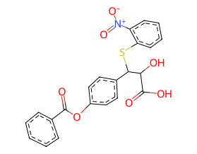 O=C(Oc1ccc(C(Sc2ccccc2[N+](=O)[O-])C(O)C(=O)O)cc1)c1ccccc1